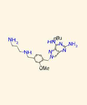 CCCCNc1nc(N)nc2cn(Cc3ccc(CNCCCN)cc3OC)nc12